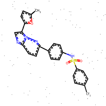 Cc1ccc(-c2cnc3ccc(-c4ccc(NS(=O)(=O)c5ccc(C(F)(F)F)cc5)cc4)nn23)o1